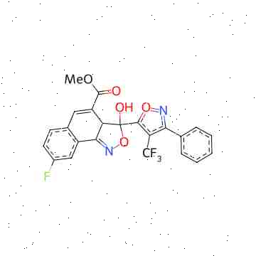 COC(=O)C1=Cc2ccc(F)cc2C2=NOC(O)(c3onc(-c4ccccc4)c3C(F)(F)F)C12